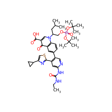 CCNC(=O)Nc1cc(-c2nc(C3CC3)cs2)c(-c2ccc3c(c2)c(=O)c(C(=O)O)cn3C(COP(=O)(OC(C)(C)C)OC(C)(C)C)CC(C)C)cn1